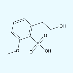 COc1cccc(CCO)c1S(=O)(=O)O